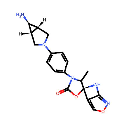 CC1N(c2ccc(N3C[C@@H]4[C@@H](N)[C@@H]4C3)cc2)C(=O)O[C@]12Nc1nocc12